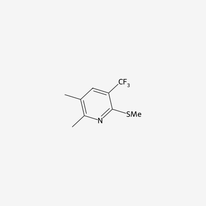 CSc1nc(C)c(C)cc1C(F)(F)F